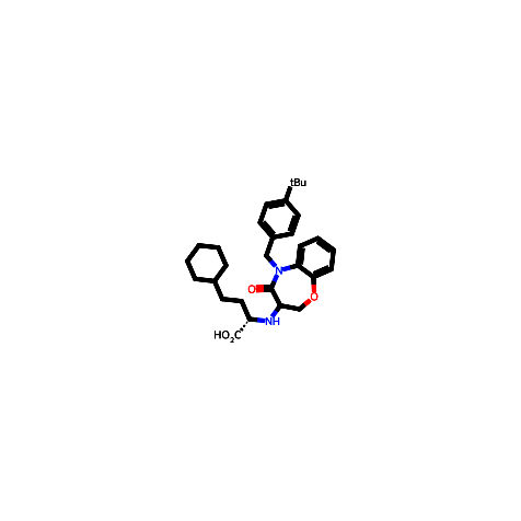 CC(C)(C)c1ccc(CN2C(=O)C(N[C@@H](CCC3CCCCC3)C(=O)O)COc3ccccc32)cc1